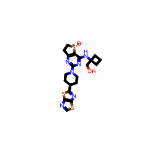 [O-][S@+]1CCc2nc(N3CCC(c4nc5scnc5s4)CC3)nc(NC3(CO)CCC3)c21